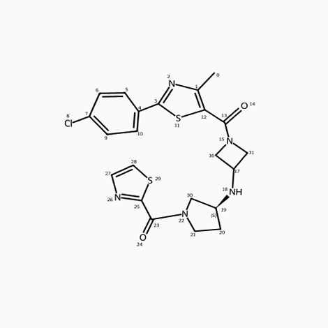 Cc1nc(-c2ccc(Cl)cc2)sc1C(=O)N1CC(N[C@H]2CCN(C(=O)c3nccs3)C2)C1